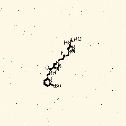 CC(C)(C)c1cccc(CNC(=O)c2cn(CCC(F)Cn3cc(NC=O)nn3)nn2)n1